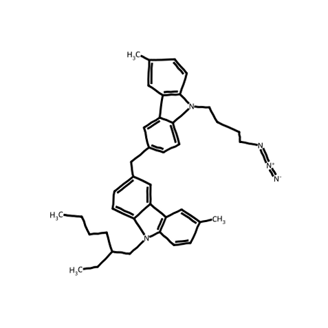 CCCCC(CC)Cn1c2ccc(C)cc2c2cc(Cc3ccc4c(c3)c3cc(C)ccc3n4CCCCN=[N+]=[N-])ccc21